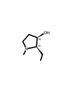 CC[C@@H]1[C@H](O)CCN1C